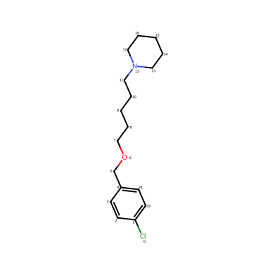 Clc1ccc(COCCCCCN2CC[CH]CC2)cc1